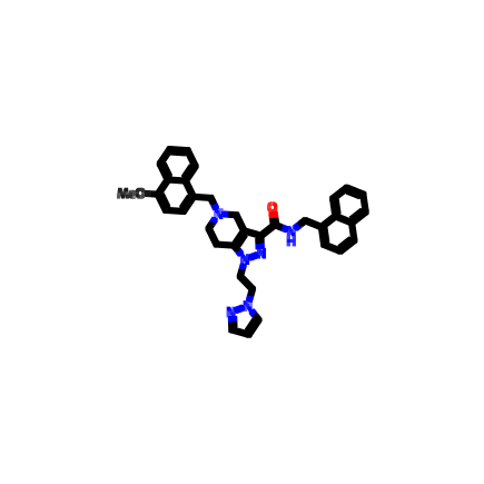 COc1ccc(CN2CCc3c(c(C(=O)NCc4cccc5ccccc45)nn3CCn3cccn3)C2)c2ccccc12